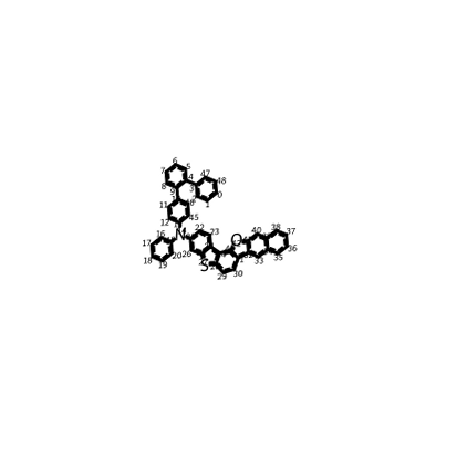 c1ccc(-c2ccccc2-c2ccc(N(c3ccccc3)c3ccc4c(c3)sc3ccc5c6cc7ccccc7cc6oc5c34)cc2)cc1